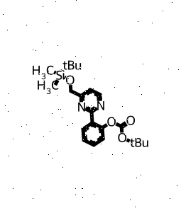 CC(C)(C)OC(=O)Oc1ccccc1-c1nccc(CO[Si](C)(C)C(C)(C)C)n1